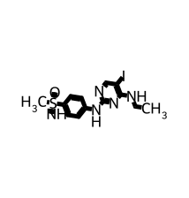 CCNc1nc(Nc2ccc(S(C)(=N)=O)cc2)ncc1I